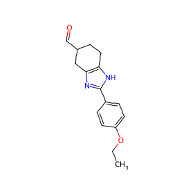 CCOc1ccc(-c2nc3c([nH]2)CCC(C=O)C3)cc1